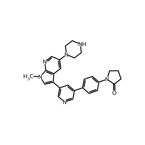 Cn1cc(-c2cncc(-c3ccc(N4CCCC4=O)cc3)c2)c2cc(N3CCNCC3)cnc21